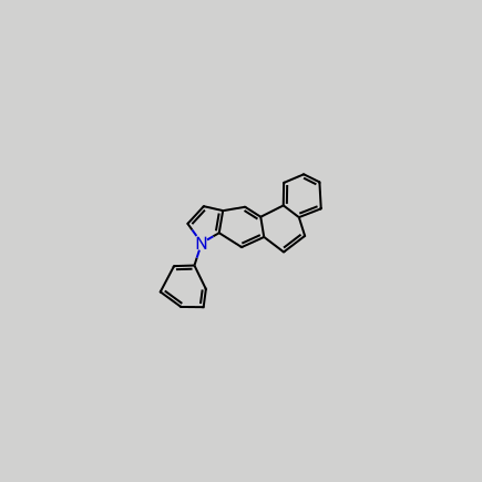 c1ccc(-n2ccc3cc4c(ccc5ccccc54)cc32)cc1